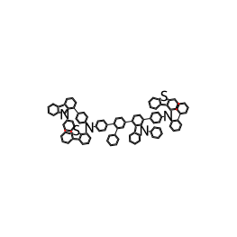 c1ccc(-c2cc(-c3ccc(-c4ccc(N(c5ccccc5-c5ccccc5)c5cccc6sc7ccccc7c56)cc4)c4c3c3ccccc3n4-c3ccccc3)ccc2-c2ccc(N(c3ccc(-c4cccc5c6ccccc6n(-c6ccccc6)c45)cc3)c3cccc4c3sc3ccccc34)cc2)cc1